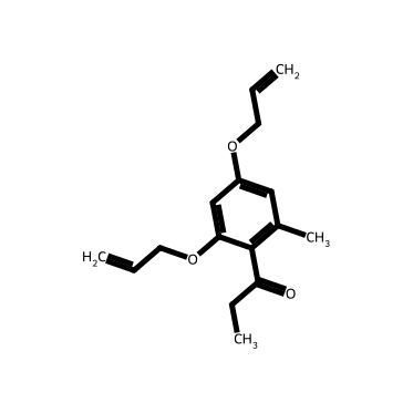 C=CCOc1cc(C)c(C(=O)CC)c(OCC=C)c1